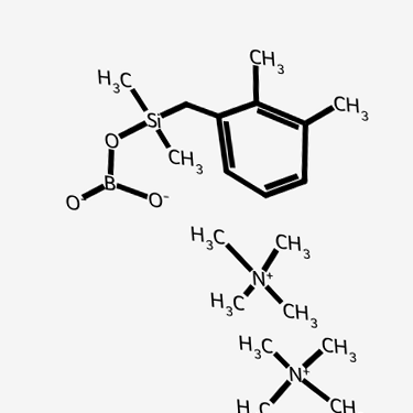 C[N+](C)(C)C.C[N+](C)(C)C.Cc1cccc(C[Si](C)(C)OB([O-])[O-])c1C